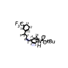 C/C=C\[C@@](C)(/C=C\CC(C)C1=CCCC(C(F)(F)F)=C1)[C@H]1C[C@@H]1NC(=O)OC(C)(C)C